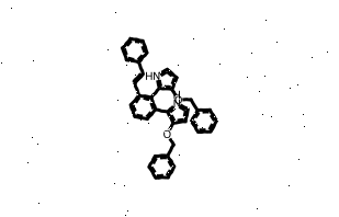 C(=Cc1cccc(-c2[nH]ccc2OCc2ccccc2)c1-c1[nH]ccc1OCc1ccccc1)c1ccccc1